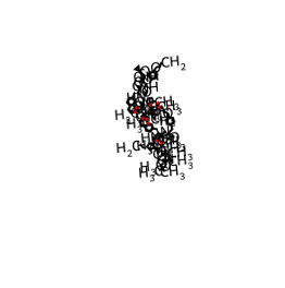 C=CCOc1ccc(C[C@H](NC(=O)[C@H](Cc2ccc3ccccc3c2)NC(=O)[C@@H]2C[C@H](CC=CCOc3ccc(CC(NC(=O)[C@H](Cc4ccc5ccccc5c4)NC(=O)[C@@H]4C[C@H](CC=C)CN4C(=O)[C@@H](NC(=O)[C@H](C)N(C)C(=O)OC(C)(C)C)C(C)(C)C)C(=O)O)cc3)CN2C(=O)[C@@H](NC(=O)[C@H](C)N(C)C(=O)OC(C)(C)C)C(C)(C)C)C(=O)NS(=O)(=O)C2CC2)cc1